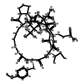 [2H]C([2H])([2H])C([2H])(C([2H])([2H])[2H])C([2H])([2H])C([2H])(NC(=O)[C@@H]1CCCN1C(=O)[C@@H]1CSCCCC(=O)N[C@@H](Cc2ccc(OC)cc2)C(=O)N[C@@H](C(C)CC)C(=O)N[C@@H](CCC(N)=O)C(=O)N[C@@H](CC(N)=O)C(=O)N1)C(=O)NCC(N)=O